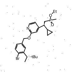 CCOP(C)(=O)C[C@H](c1ccnc(OCc2ccc(Br)c([C@@H](C)C(C)(C)C)c2)c1)C1CC1